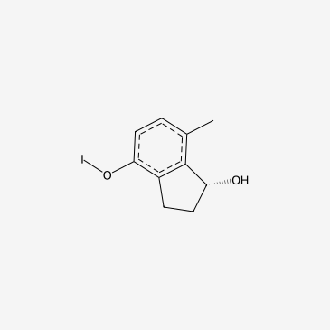 Cc1ccc(OI)c2c1[C@H](O)CC2